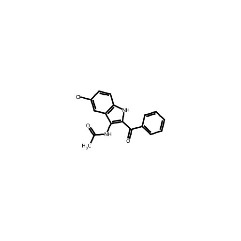 CC(=O)Nc1c(C(=O)c2ccccc2)[nH]c2ccc(Cl)cc12